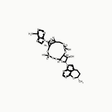 C[C@H]1CCc2cn([C@@H]3O[C@@H]4COP(=O)(S)O[C@@H]5[C@H](O)[C@@H](COP(=O)(S)O[C@H]4[C@H]3O)O[C@H]5n3cnc4c(N)ncnc43)c3ncnc(c23)O1